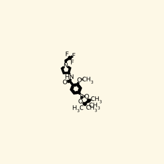 COc1cc(B2OC(C)(C)C(C)(C)O2)ccc1C(=O)NC1CCN(CC(F)(F)F)C1